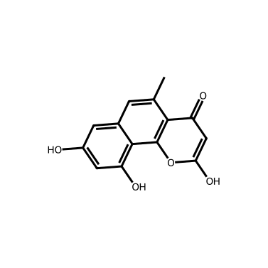 Cc1cc2cc(O)cc(O)c2c2oc(O)cc(=O)c12